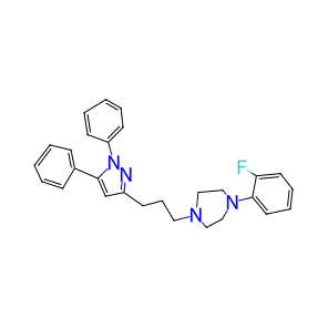 Fc1ccccc1N1CCN(CCCc2cc(-c3ccccc3)n(-c3ccccc3)n2)CC1